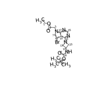 CCOC(=O)Cn1cc(Br)c2c(N3CC(NC(=O)OC(C)(C)C)C3)ncnc21